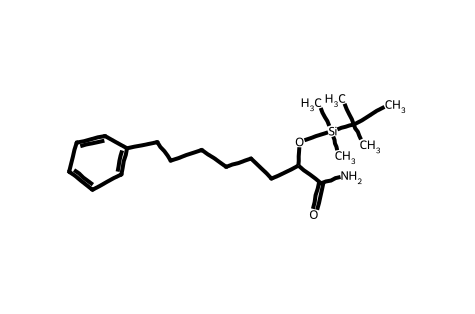 CC(C)(C)[Si](C)(C)OC(CCCCCCc1ccccc1)C(N)=O